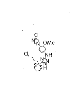 COc1cc(Nc2n[nH]c(C3(CCCCCl)SCCCS3)n2)ccc1-n1cnc(Cl)c1